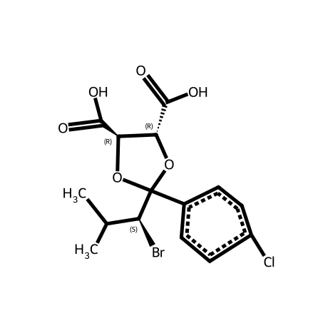 CC(C)[C@H](Br)C1(c2ccc(Cl)cc2)O[C@@H](C(=O)O)[C@H](C(=O)O)O1